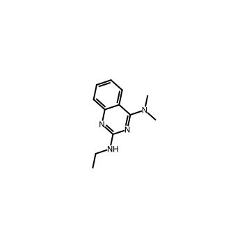 CCNc1nc(N(C)C)c2ccccc2n1